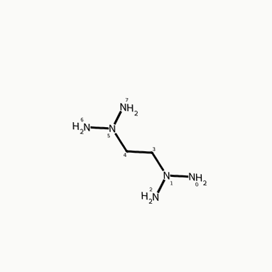 NN(N)CCN(N)N